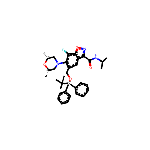 CC(C)NC(=O)c1noc2c(F)c(N3C[C@@H](C)O[C@@H](C)C3)c(CO[Si](c3ccccc3)(c3ccccc3)C(C)(C)C)cc12